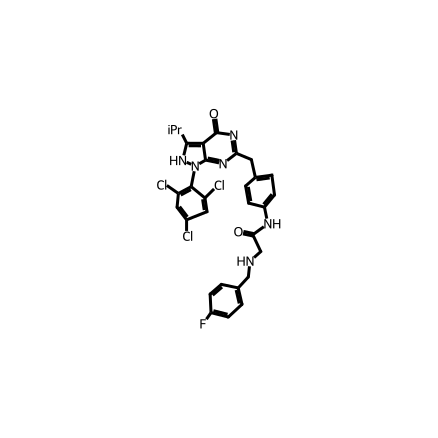 CC(C)c1[nH]n(-c2c(Cl)cc(Cl)cc2Cl)c2nc(Cc3ccc(NC(=O)CNCc4ccc(F)cc4)cc3)nc(=O)c1-2